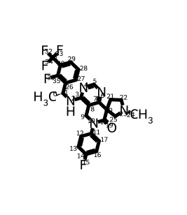 C[C@@H](Nc1ncnc2c1CN(c1ccc(F)cc1)C(=O)C21CCN(C)C1)c1cccc(C(F)(F)F)c1F